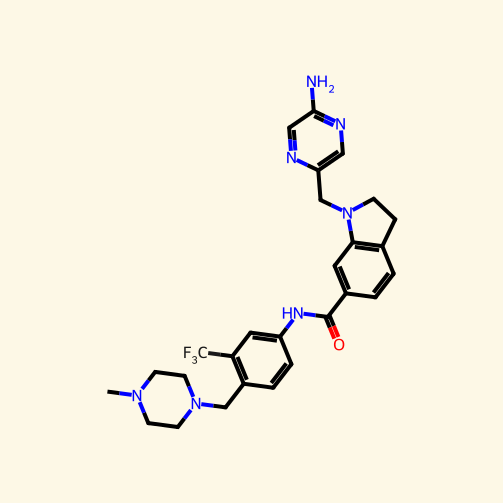 CN1CCN(Cc2ccc(NC(=O)c3ccc4c(c3)N(Cc3cnc(N)cn3)CC4)cc2C(F)(F)F)CC1